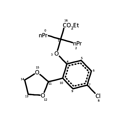 CCCC(CCC)(Oc1ccc(Cl)cc1C1OCCO1)C(=O)OCC